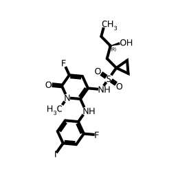 CC[C@@H](O)CC1(S(=O)(=O)Nc2cc(F)c(=O)n(C)c2Nc2ccc(I)cc2F)CC1